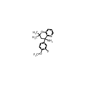 CC1(C)CC(N)(c2ccc(OC(F)(F)F)c(F)c2)c2ncccc2O1